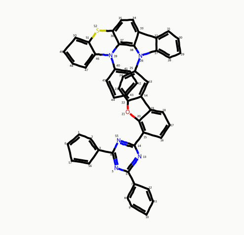 c1ccc(-c2nc(-c3ccccc3)nc(-c3cccc4c3oc3ccc(-n5c6ccccc6c6ccc7c(c65)N(c5ccccc5)c5ccccc5S7)cc34)n2)cc1